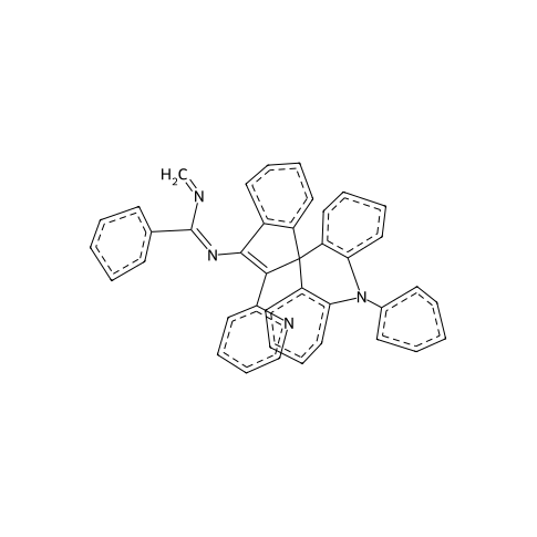 C=N/C(=N\C1=C(c2ccccn2)C2(c3ccccc31)c1ccccc1N(c1ccccc1)c1ccccc12)c1ccccc1